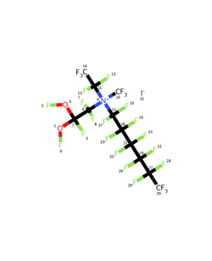 FOC(F)(OF)C(F)(F)[N+](C(F)(F)F)(C(F)(F)C(F)(F)F)C(F)(F)C(F)(F)C(F)(F)C(F)(F)C(F)(F)C(F)(F)F.[I-]